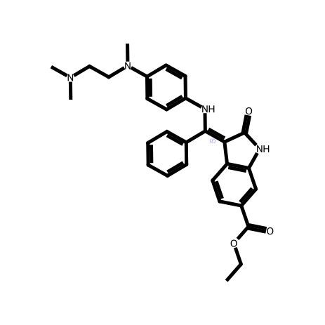 CCOC(=O)c1ccc2c(c1)NC(=O)/C2=C(\Nc1ccc(N(C)CCN(C)C)cc1)c1ccccc1